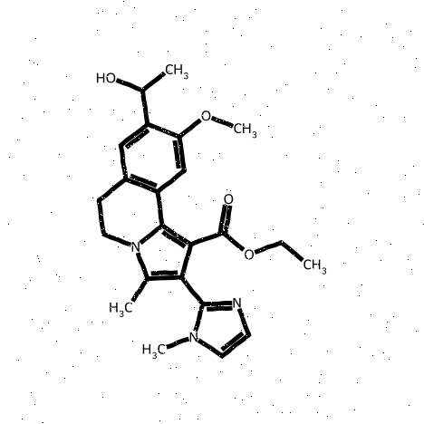 CCOC(=O)c1c(-c2nccn2C)c(C)n2c1-c1cc(OC)c(C(C)O)cc1CC2